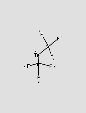 FC(F)(F)[Te]C(F)(F)F